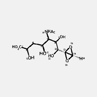 CC(=O)NC(C(O)CC(O)C(=O)O)C(O)C(O)[C@]12O[C@H]1O2